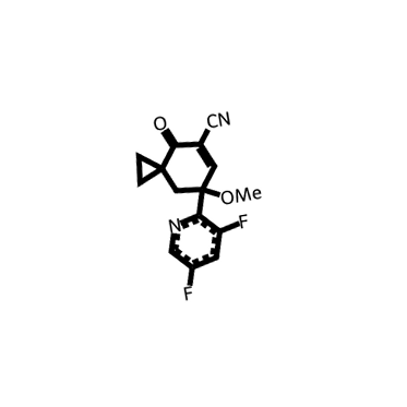 COC1(c2ncc(F)cc2F)C=C(C#N)C(=O)C2(CC2)C1